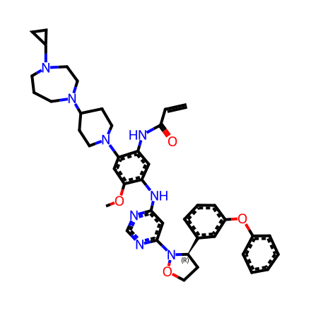 C=CC(=O)Nc1cc(Nc2cc(N3OCC[C@@H]3c3cccc(Oc4ccccc4)c3)ncn2)c(OC)cc1N1CCC(N2CCCN(C3CC3)CC2)CC1